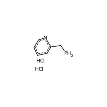 Cl.Cl.PCc1ccccn1